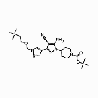 CC(C)(C)OC(=O)N1CCC(n2nc(-c3cnn(COCCS(C)(C)C)c3)c(C#N)c2N)CC1